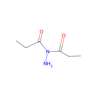 CCC(=O)N(N)C(=O)CC